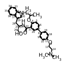 CC(C)Oc1ccc(-c2ccc(OCCN(C)C)cc2)cc1C(=O)N[C@@H](CO)Cc1c[nH]c2ccccc12